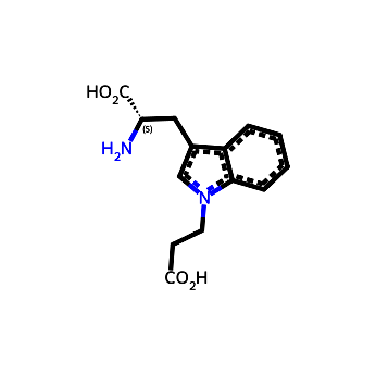 N[C@@H](Cc1cn(CCC(=O)O)c2ccccc12)C(=O)O